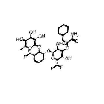 CC(=O)NC1C(O[C@@H](CC2CCCCC2)C(N)=O)[C@H](O)[C@H](C(F)F)O[C@H]1O[C@@H]1CCC[C@@H](C(F)F)C1OC1O[C@@H](C)C(O)[C@H](O)[C@@H]1O